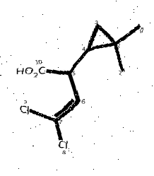 CC1(C)CC1C(C=C(Cl)Cl)C(=O)O